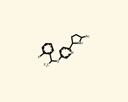 CC(=O)C1CCC(c2ccc(OC(c3ccccc3F)C(F)(F)F)cn2)N1